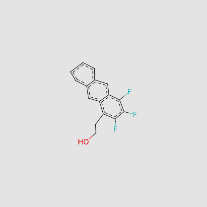 OCCc1c(F)c(F)c(F)c2cc3ccccc3cc12